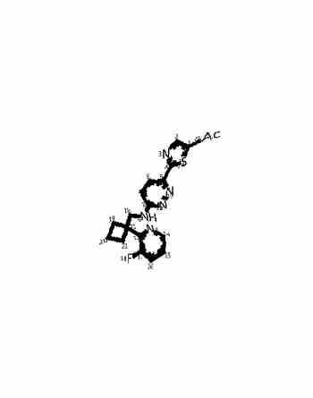 CC(=O)c1cnc(-c2ccc(NCC3(c4ncccc4F)CCC3)nn2)s1